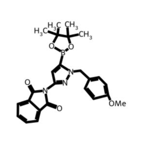 COc1ccc(Cn2nc(N3C(=O)c4ccccc4C3=O)cc2B2OC(C)(C)C(C)(C)O2)cc1